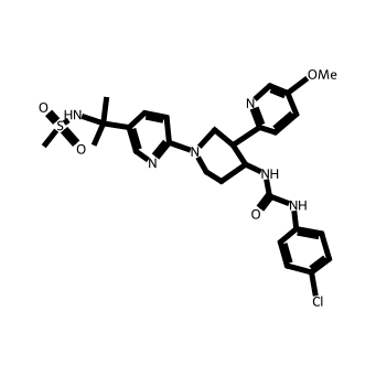 COc1ccc(C2CN(c3ccc(C(C)(C)NS(C)(=O)=O)cn3)CCC2NC(=O)Nc2ccc(Cl)cc2)nc1